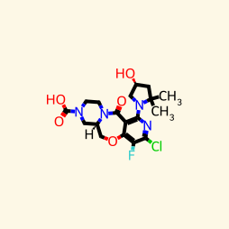 CC1(C)C[C@H](O)CN1c1nc(Cl)c(F)c2c1C(=O)N1CCN(C(=O)O)C[C@@H]1CO2